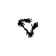 O=C(CCCCCCCCCCCCC(=O)OCN1C(=O)CCc2ccc(OCCCCN3CCN(c4cccc(Cl)c4Cl)CC3)cc21)OCN1C(=O)CCc2ccc(OCCCCN3CCN(c4cccc(Cl)c4Cl)CC3)cc21